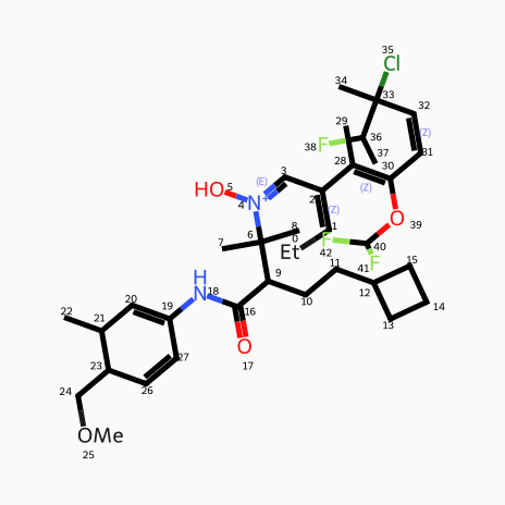 CC/C=C(\C=[N+](\O)C(C)(C)C(CCC1CCC1)C(=O)NC1=CC(C)C(COC)C=C1)C(/C)=C(/C=C\C(C)(Cl)C(C)F)OC(F)F